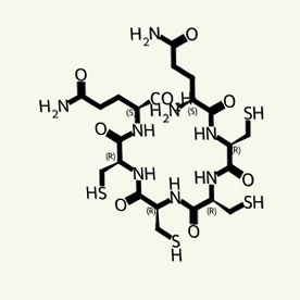 NC(=O)CC[C@H](NC(=O)[C@H](CS)NC(=O)[C@H](CS)NC(=O)[C@H](CS)NC(=O)[C@H](CS)NC(=O)[C@@H](N)CCC(N)=O)C(=O)O